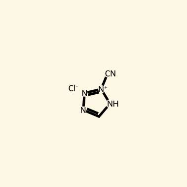 N#C[n+]1nnc[nH]1.[Cl-]